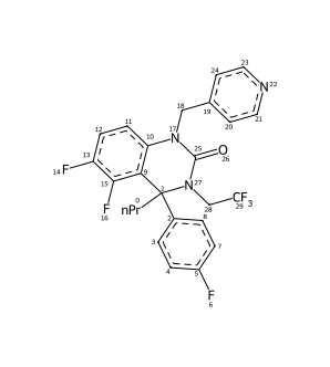 CCCC1(c2ccc(F)cc2)c2c(ccc(F)c2F)N(Cc2ccncc2)C(=O)N1CC(F)(F)F